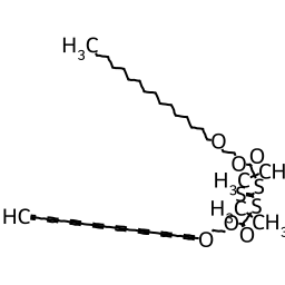 C#CC#CC#CC#CC#CC#CC#CC#COCCOC(=O)C(C)(C)SC(=S)SC(C)(C)C(=O)OCCOCCCCCCCCCCCCCCCC